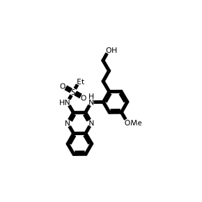 CCS(=O)(=O)Nc1nc2ccccc2nc1Nc1cc(OC)ccc1CCCO